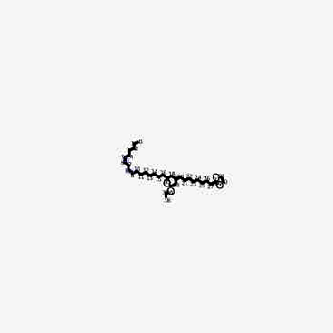 CCCCC/C=C\C/C=C\CCCCCCCCCC(CCCCCCCCC1OCCO1)CC(=O)OCC